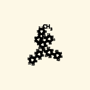 Cc1ccc2c3ccccc3n(-c3ccccc3-c3cccc(N(c4ccc(-c5ccccc5)cc4)c4ccc(-c5ccccc5)cc4)c3)c2c1